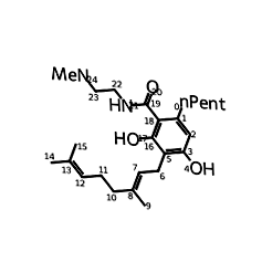 CCCCCc1cc(O)c(C/C=C(\C)CCC=C(C)C)c(O)c1C(=O)NCCNC